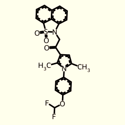 Cc1cc(C(=O)CN2c3cccc4cccc(c34)S2(=O)=O)c(C)n1-c1ccc(OC(F)F)cc1